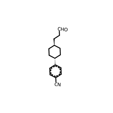 N#Cc1ccc([C@H]2CC[C@H](CCC=O)CC2)cc1